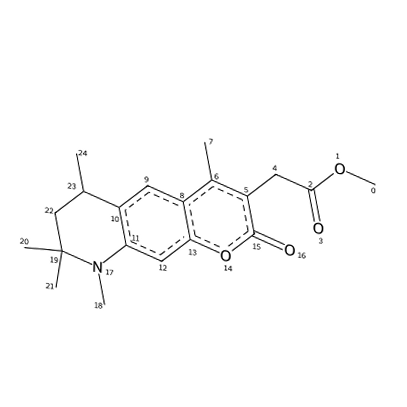 COC(=O)Cc1c(C)c2cc3c(cc2oc1=O)N(C)C(C)(C)CC3C